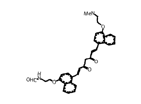 CNCCOc1ccc(/C=C/C(=O)CC(=O)/C=C/c2ccc(OCCNC=O)c3ccccc23)c2ccccc12